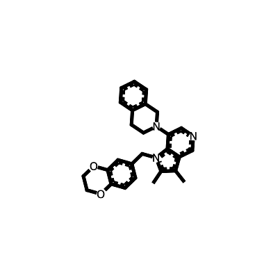 Cc1c(C)n(Cc2ccc3c(c2)OCCO3)c2c(N3CCc4ccccc4C3)cncc12